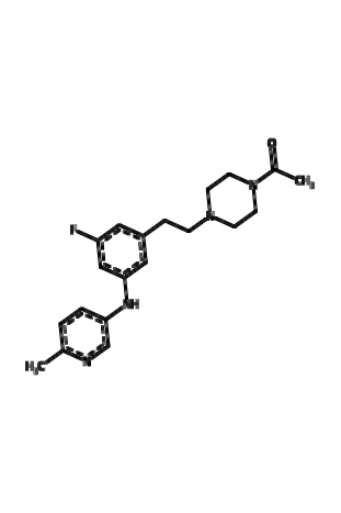 CC(=O)N1CCN(CCc2cc(F)cc(Nc3ccc(C)nc3)c2)CC1